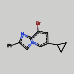 CC(C)c1cn2cc(C3CC3)cc(Br)c2n1